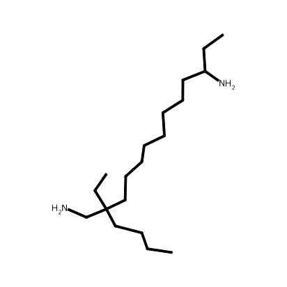 CCCCC(CC)(CN)CCCCCCCCC(N)CC